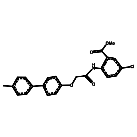 COC(=O)c1cc(Cl)ccc1NC(=O)COc1ccc(-c2ccc(C)cc2)cc1